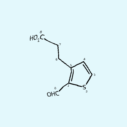 O=Cc1sccc1CCC(=O)O